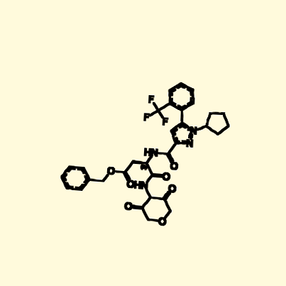 O=C(C[C@@H](NC(=O)c1cc(-c2ccccc2C(F)(F)F)n(C2CCCC2)n1)C(=O)NC1C(=O)COCC1=O)OCc1ccccc1